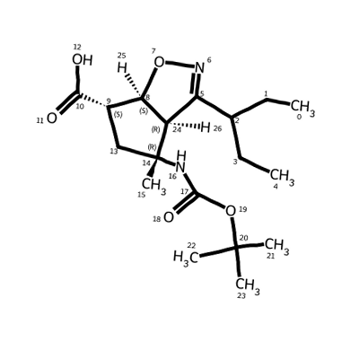 CCC(CC)C1=NO[C@@H]2[C@@H](C(=O)O)C[C@@](C)(NC(=O)OC(C)(C)C)[C@H]12